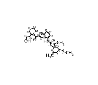 CCCC1CC(C)CC(CC)(CC(=O)Nc2cccc3nc(C(=O)N4CCCCC4CCO)cn23)C1